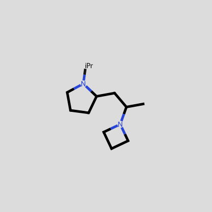 CC(CC1CCCN1C(C)C)N1CCC1